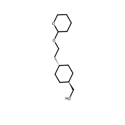 OC[C@H]1CC[C@H](CCOC2CCCCO2)CC1